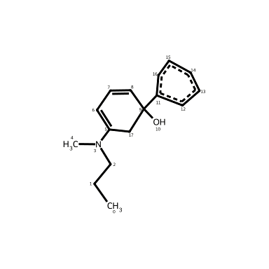 CCCN(C)C1=CC=CC(O)(c2ccccc2)C1